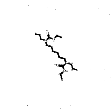 CCCN(CCCCCCN(CCC)C(=O)OCC)C(=O)OCC